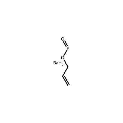 C=CCOP=O.[BaH2]